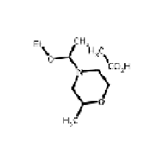 CC(=O)O.CCOC(C)N1CCOC(C)C1